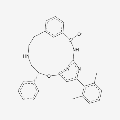 Cc1cccc(C)c1-c1cc2nc(n1)N[S+]([O-])c1cccc(c1)CCNC[C@@H](c1ccccc1)O2